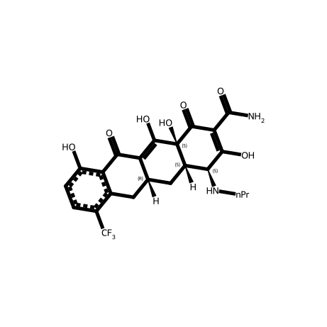 CCCN[C@@H]1C(O)=C(C(N)=O)C(=O)[C@@]2(O)C(O)=C3C(=O)c4c(O)ccc(C(F)(F)F)c4C[C@H]3C[C@@H]12